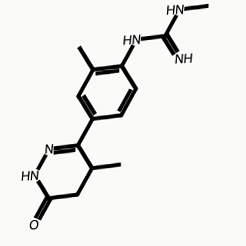 CNC(=N)Nc1ccc(C2=NNC(=O)CC2C)cc1C